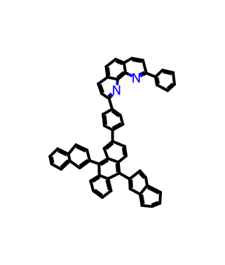 c1ccc(-c2ccc3ccc4ccc(-c5ccc(-c6ccc7c(-c8ccc9ccccc9c8)c8ccccc8c(-c8ccc9ccccc9c8)c7c6)cc5)nc4c3n2)cc1